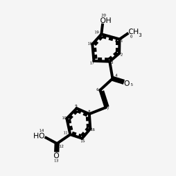 Cc1cc(C(=O)C=Cc2ccc(C(=O)O)cc2)ccc1O